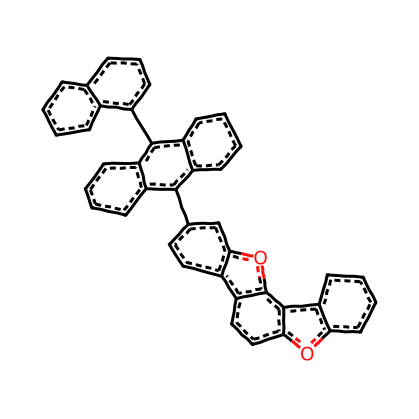 c1ccc2c(-c3c4ccccc4c(-c4ccc5c(c4)oc4c5ccc5oc6ccccc6c54)c4ccccc34)cccc2c1